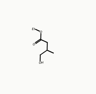 CCOC(=O)CC(C)[CH]O